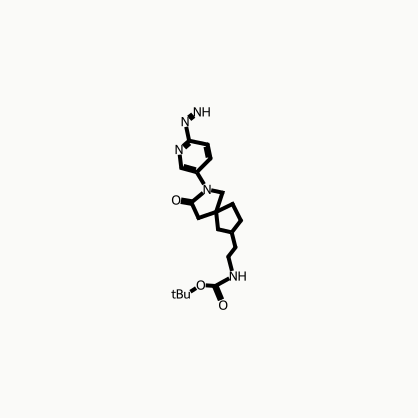 CC(C)(C)OC(=O)NCCC1CCC2(CC(=O)N(c3ccc(N=N)nc3)C2)C1